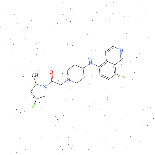 N#CC1C[C@H](F)CN1C(=O)CN1CCC(Nc2ccc(F)c3cnccc23)CC1